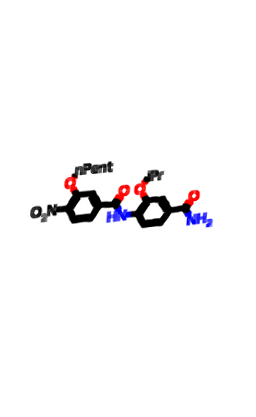 CCCCCOc1cc(C(=O)Nc2ccc(C(N)=O)cc2OC(C)C)ccc1[N+](=O)[O-]